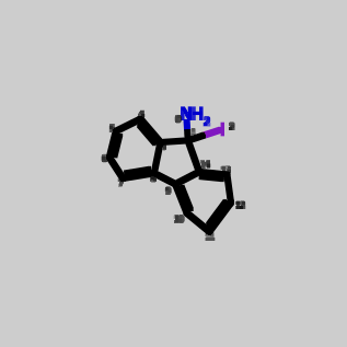 NC1(I)c2ccccc2-c2ccccc21